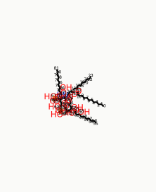 CCCCCCCCCCCC(=O)O[C@H](CCCCCCCCC)CC(=O)NC1C(OCC2OC(OP(=O)(O)O)C(C)C(OC(=O)C[C@H](O)CCCCCCC)C2O)OC(CO)C(OP(=O)(O)O)C1OC(=O)C[C@H](O)CCCCCCC